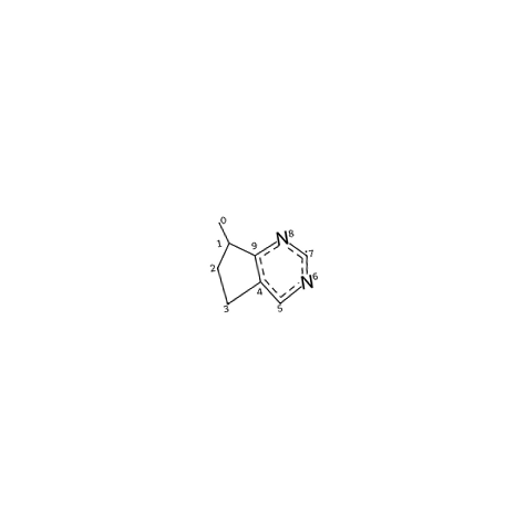 CC1CCc2cn[c]nc21